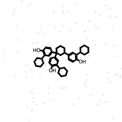 Oc1ccc(C2CCCC(c3ccc(O)c(C4CCCCC4)c3)(c3ccc(O)c(C4CCCCC4)c3)C2)cc1C1CCCCC1